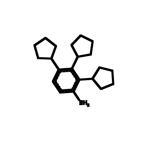 [SiH3]c1ccc(C2CCCC2)c(C2CCCC2)c1C1CCCC1